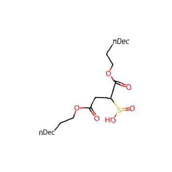 CCCCCCCCCCCCOC(=O)CC(C(=O)OCCCCCCCCCCCC)S(=O)O